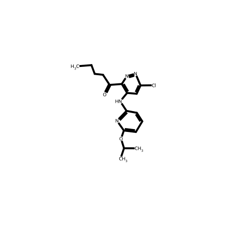 CCCCC(=O)c1nnc(Cl)cc1Nc1cccc(OC(C)C)n1